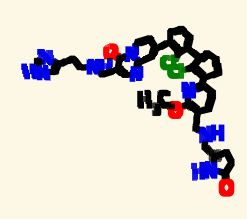 COc1nc(-c2cccc(-c3cccc(-c4ccn5c(=O)c(CNCCc6c[nH]cn6)cnc5c4)c3Cl)c2Cl)ccc1CNC[C@H]1CCC(=O)N1